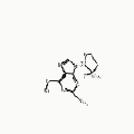 CCOc1nc(N)nc2c1ncn2[C@@H]1OCC[C@@]1(C)F